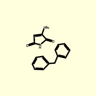 CCCCC1=CC(=O)NC1=O.c1ccc(Cc2ccccc2)cc1